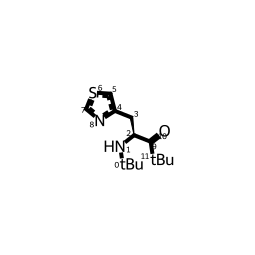 CC(C)(C)N[C@@H](Cc1cscn1)C(=O)C(C)(C)C